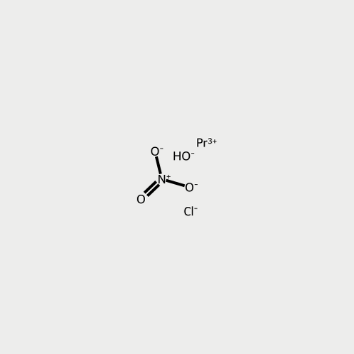 O=[N+]([O-])[O-].[Cl-].[OH-].[Pr+3]